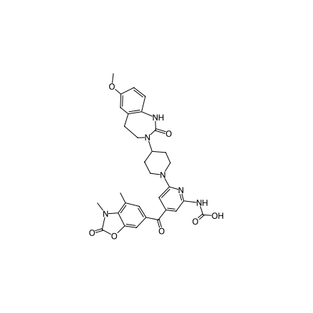 COc1ccc2c(c1)CCN(C1CCN(c3cc(C(=O)c4cc(C)c5c(c4)oc(=O)n5C)cc(NC(=O)O)n3)CC1)C(=O)N2